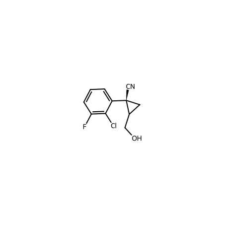 N#C[C@@]1(c2cccc(F)c2Cl)CC1CO